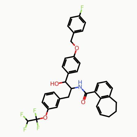 O=C(NC(Cc1cccc(OC(F)(F)C(F)F)c1)C(O)c1ccc(OCc2ccc(F)cc2)cc1)c1cccc2c1C=CCCC2